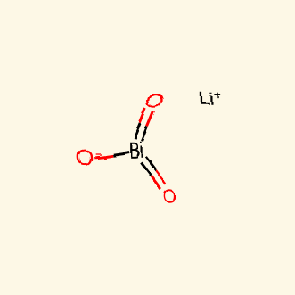 [Li+].[O]=[Bi](=[O])[O-]